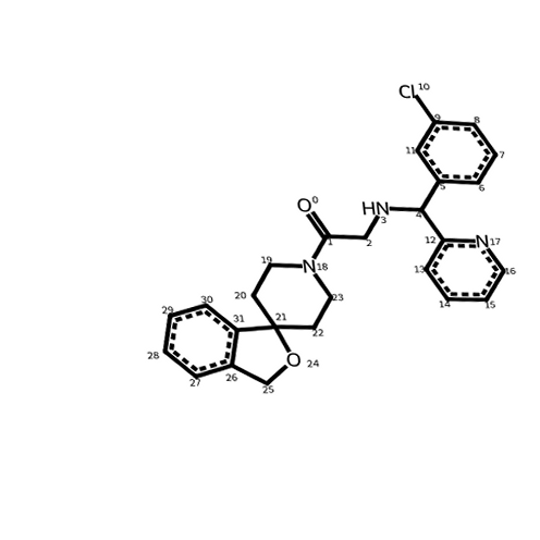 O=C(CNC(c1cccc(Cl)c1)c1ccccn1)N1CCC2(CC1)OCc1ccccc12